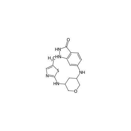 Cc1cnc(NC2COCC(Nc3ccc4c(=O)[nH][nH]c4c3)C2)s1